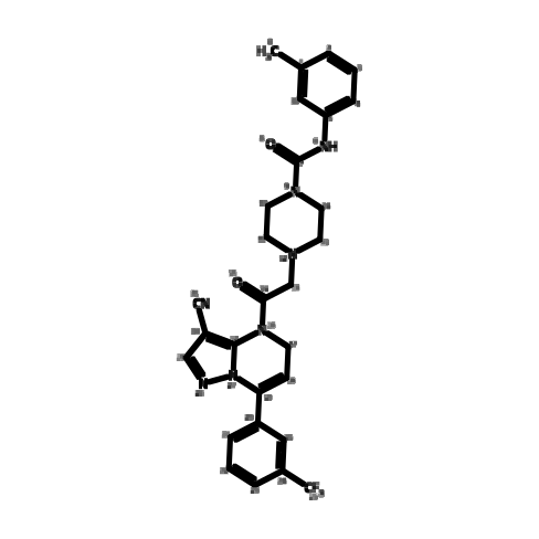 Cc1cccc(NC(=O)N2CCN(CC(=O)N3CC=C(c4cccc(C(F)(F)F)c4)n4ncc(C#N)c43)CC2)c1